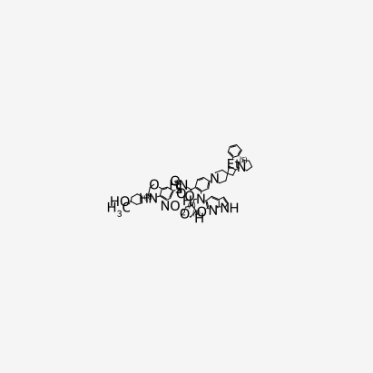 CCc1ccccc1[C@@H]1CCCN1C1CC2(CCN(c3ccc(C(=O)NS(=O)(=O)c4cc5c(c([N+](=O)[O-])c4)N[C@H](C4CCC(C)(O)CC4)CO5)c(N4C[C@@H]5COC[C@H]5Oc5nc6[nH]ccc6cc54)c3)CC2)C1